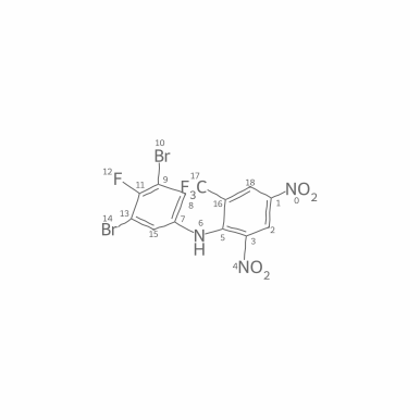 O=[N+]([O-])c1cc([N+](=O)[O-])c(Nc2cc(Br)c(F)c(Br)c2)c(C(F)(F)F)c1